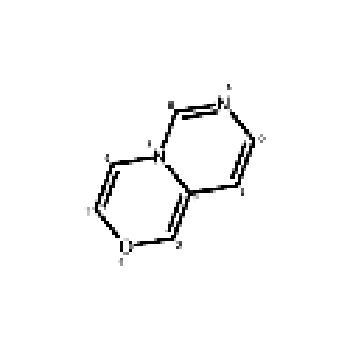 C1=CC2=COC=CN2C=N1